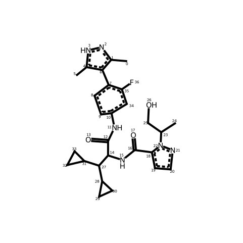 Cc1n[nH]c(C)c1-c1ccc(NC(=O)C(NC(=O)c2ccnn2C(C)CO)C(C2CC2)C2CC2)cc1F